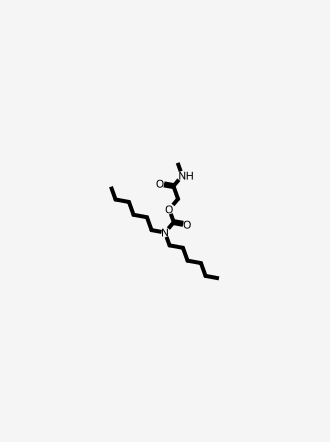 CCCCCCN(CCCCCC)C(=O)OCC(=O)NC